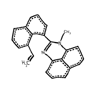 C=Cc1cccc2cccc(C3=Nc4cccc5cccc(c45)N3C)c12